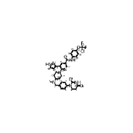 CN(Cc1ccc(N2CCC(=O)NC2=O)cc1)C1CCN(c2ncc(C(=O)Nc3ccc(OC(F)(F)Cl)cc3)cc2-c2cc[nH]n2)CC1